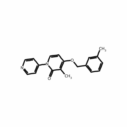 Cc1cccc(COc2ccn(-c3ccncc3)c(=O)c2C)c1